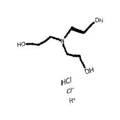 Cl.OCCN(CCO)CCO.[Cl-].[H+]